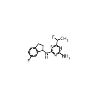 CC(F)c1nc(N)nc(NC2CCc3ccc(F)cc32)n1